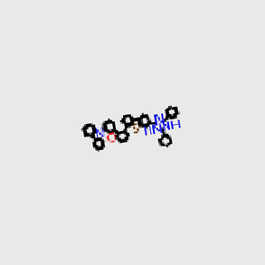 C1=CCCC(C2NC(c3ccccc3)=NC(c3ccc4c(c3)sc3c(-c5cccc6oc7c(-n8c9ccccc9c9ccccc98)cccc7c56)cccc34)N2)=C1